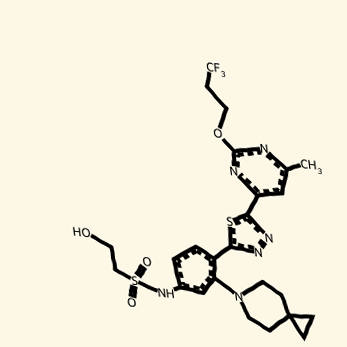 Cc1cc(-c2nnc(-c3ccc(NS(=O)(=O)CCO)cc3N3CCC4(CC3)CC4)s2)nc(OCCC(F)(F)F)n1